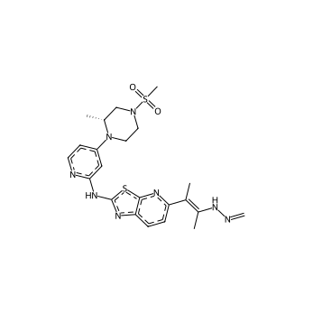 C=NN/C(C)=C(\C)c1ccc2nc(Nc3cc(N4CCN(S(C)(=O)=O)C[C@H]4C)ccn3)sc2n1